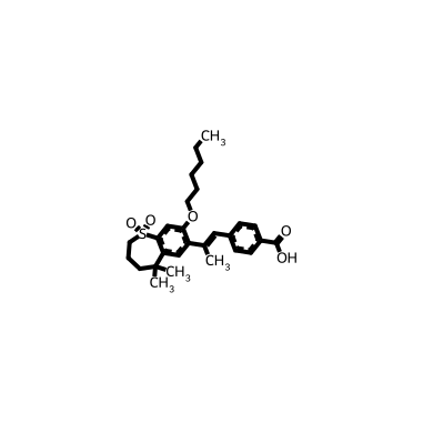 CCCCCCOc1cc2c(cc1/C(C)=C/c1ccc(C(=O)O)cc1)C(C)(C)CCCS2(=O)=O